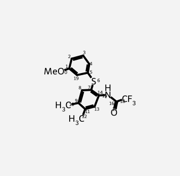 COc1cccc(Sc2cc(C)c(C)cc2NC(=O)C(F)(F)F)c1